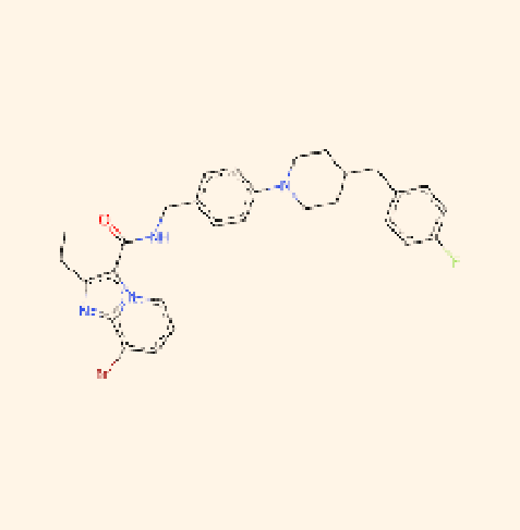 CCc1nc2c(Br)cccn2c1C(=O)NCc1ccc(N2CCC(Cc3ccc(F)cc3)CC2)cc1